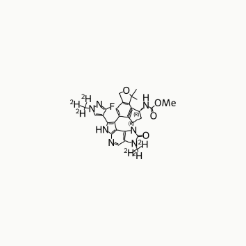 [2H]C([2H])([2H])n1cc(-c2[nH]c3ncc4c(c3c2-c2ccc3c(c2)COC3(C)C)n([C@@H]2CC[C@@H](NC(=O)OC)C2)c(=O)n4C([2H])([2H])[2H])c(F)n1